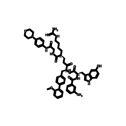 COc1ccccc1-c1ccc(C[C@H](NC(=O)[C@H](Cc2c[nH]c3ccc(O)cc23)NC(=O)c2cccc(N)c2)C(=O)CC[C@@H](CCCCNC(=N)N)C(=O)NCC(=O)Nc2ccc(N3CCOCC3)cc2)cc1